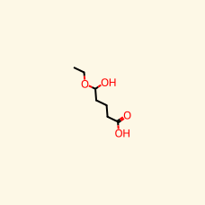 CCOC(O)CCCC(=O)O